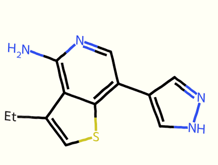 CCc1csc2c(-c3cn[nH]c3)cnc(N)c12